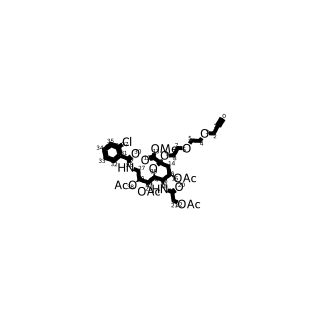 C#CCOCCOCCO[C@]1(C(=O)OC)C[C@H](OC(C)=O)[C@@H](NC(=O)COC(C)=O)[C@H]([C@H](OC(C)=O)[C@@H](CNC(=O)c2ccccc2Cl)OC(C)=O)O1